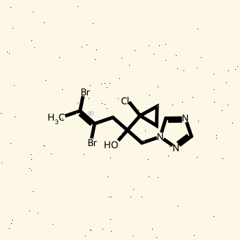 C/C(Br)=C(\Br)CC(O)(Cn1cncn1)C1(Cl)CC1